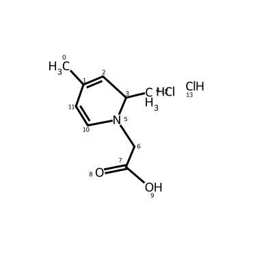 CC1=CC(C)N(CC(=O)O)C=C1.Cl.Cl